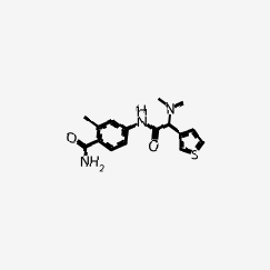 Cc1cc(NC(=O)C(c2ccsc2)N(C)C)ccc1C(N)=O